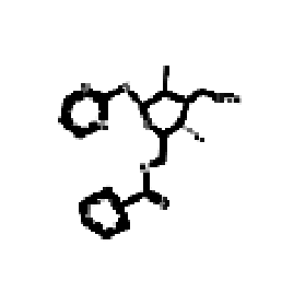 CNCC1[C@H](C)C(COC(=O)c2ccccc2)O[C@@H](Sc2ncccn2)[C@H]1C